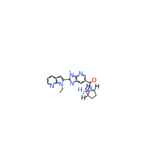 CCn1c(-c2nc3cc(C(=O)N4C[C@H]5CC[C@@H]4[C@@H]5N)cnc3n2C)cc2cccnc21